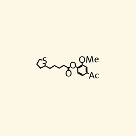 COc1cc(C(C)=O)ccc1OC(=O)CCCCC1CCCS1